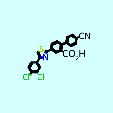 N#Cc1ccc(-c2ccc(-c3nc(-c4ccc(Cl)c(Cl)c4)cs3)cc2C(=O)O)cc1